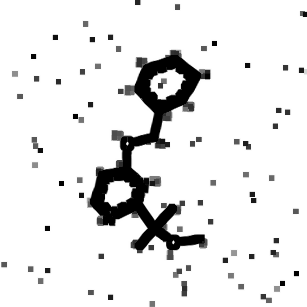 COC(C)(C)c1nccc(OCc2ccccc2)n1